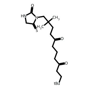 CC(C)(C)CCC(=O)CCCC(=O)CCC(C)(C)CN1C(=O)NCC1=S